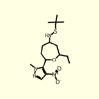 CCC1CC(NSC(C)(C)C)CCC(c2c([N+](=O)[O-])cnn2C)O1